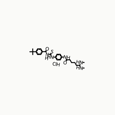 CNC(CCCCC(=O)Nc1ccc(NC(=S)NC(=O)c2ccc(C(C)(C)C)cc2)cc1)NC.Cl